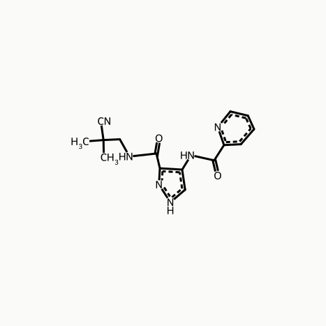 CC(C)(C#N)CNC(=O)c1n[nH]cc1NC(=O)c1ccccn1